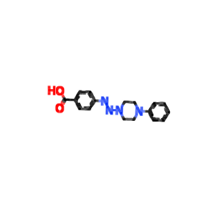 O=C(O)c1ccc(/N=N/N2CCN(c3ccccc3)CC2)cc1